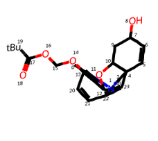 CN1CCC23C=CC(O)CC2Oc2c(OCOC(=O)C(C)(C)C)ccc(c23)C1